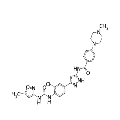 Cc1cc(NC(=O)Nc2ccc(-c3cc(NC(=O)c4ccc(N5CCN(C)CC5)cc4)[nH]n3)cc2Cl)no1